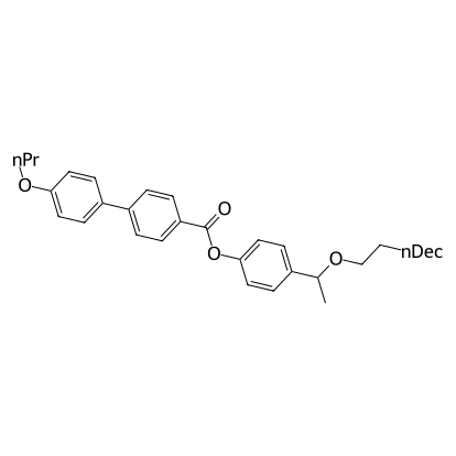 CCCCCCCCCCCCOC(C)c1ccc(OC(=O)c2ccc(-c3ccc(OCCC)cc3)cc2)cc1